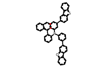 c1cc(-c2ccc3c(c2)oc2ccccc23)cc(N(c2cccc(-c3ccc4sc5ccccc5c4c3)c2)c2ccccc2-c2cccc3ccccc23)c1